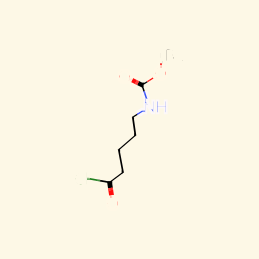 CC(C)(C)OC(=O)NCCCCC(=O)Cl